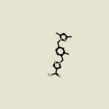 Cc1cc(C)n(Cc2ccc(Cn3cc(C(N)=O)cn3)c(C)c2)n1